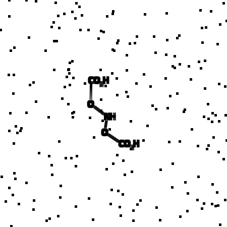 O=C(O)ONOC(=O)O